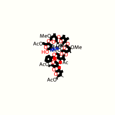 COCC1O[C@@H](O[C@H]2C(C)C(C)[C@@H](O[C@H]3C(C)C(OC)[C@H](O[C@@H]4C(COC(C)=O)OC(O)C(N=[N+]=[N-])[C@H]4C)O[C@H]3COC)O[C@H]2COC)C(OC)[C@@H](C)[C@@H]1O[C@@H]1OC(COC(=O)c2ccccc2)[C@@H](O[C@@H]2O[C@@H](COC(C)=O)[C@@H](O[C@H]3O[C@@H](COC(C)=O)[C@@H](C)C(C)C3C)C(C)C2OC(C)=O)[C@H](C)C1C